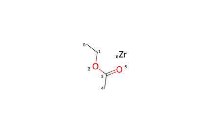 CCOC(C)=O.[Zr]